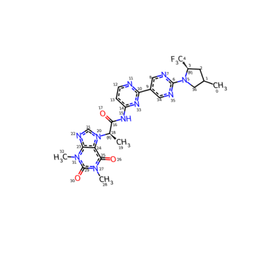 CC1C[C@H](C(F)(F)F)N(c2ncc(-c3nccc(NC(=O)[C@@H](C)n4cnc5c4c(=O)n(C)c(=O)n5C)n3)cn2)C1